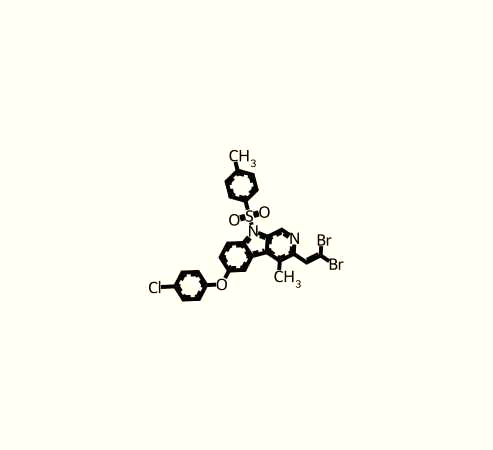 Cc1ccc(S(=O)(=O)n2c3ccc(Oc4ccc(Cl)cc4)cc3c3c(C)c(C=C(Br)Br)ncc32)cc1